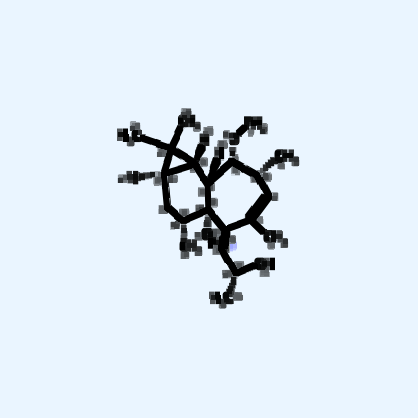 CC1=C[C@@H](C)[C@@H](OP)[C@H]2[C@@H]3[C@@H](C[C@@H](C)[C@]2(OP)/C1=C/[C@@H](C)O)C3(C)C